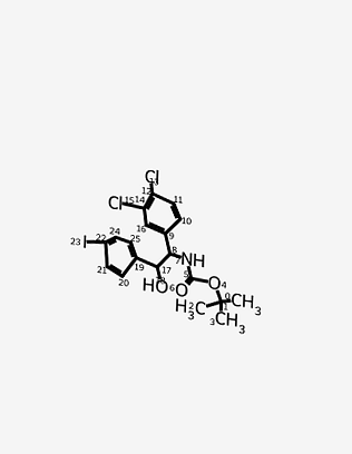 CC(C)(C)OC(=O)NC(c1ccc(Cl)c(Cl)c1)C(O)c1ccc(I)cc1